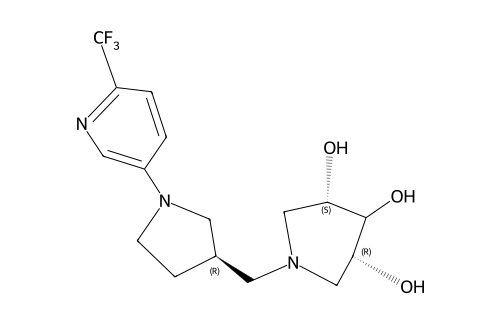 OC1[C@H](O)CN(C[C@H]2CCN(c3ccc(C(F)(F)F)nc3)C2)C[C@@H]1O